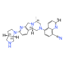 [2H]c1ccc2c(N3C[C@@H](C)N4Cc5nc(N6CC[C@H]7CNC[C@H]76)ccc5[C@H]4C3)ccc(C#N)c2n1